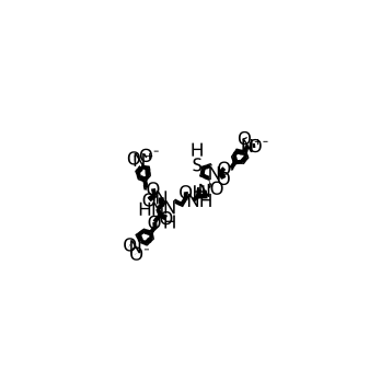 O=C(N=C(NCCC(O)NC1CN(C(=O)[C@@H]2C[C@H](S)CN2C(=O)OCc2ccc([N+](=O)[O-])cc2)C1)NC(=O)OCc1ccc([N+](=O)[O-])cc1)OCc1ccc([N+](=O)[O-])cc1